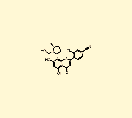 CN1CC[C@H](c2c(O)cc(O)c3c(=O)cc(-c4ccc(C#N)cc4Cl)oc23)[C@H]1CO